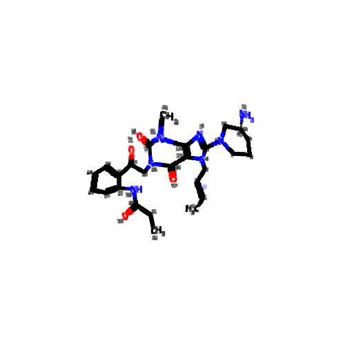 C/C=C/Cn1c(N2CCC[C@@H](N)C2)nc2c1c(=O)n(CC(=O)c1ccccc1NC(=O)CC)c(=O)n2C